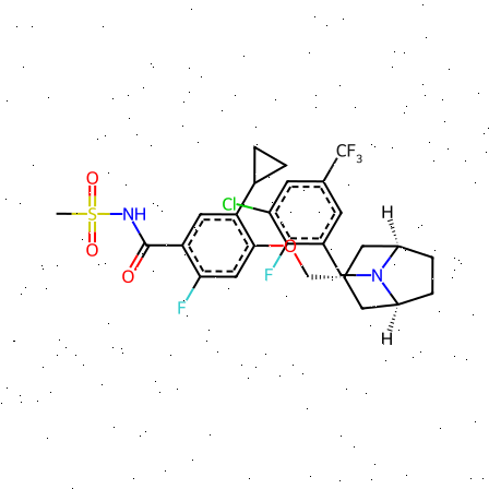 CS(=O)(=O)NC(=O)c1cc(C2CC2)c(OC[C@@H]2C[C@H]3CC[C@@H](C2)N3Cc2cc(C(F)(F)F)cc(Cl)c2F)cc1F